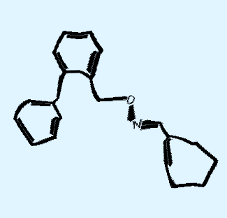 [C](=N\OCc1ccccc1-c1ccccc1)/C1=CCCCC1